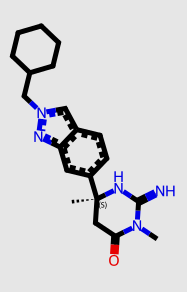 CN1C(=N)N[C@](C)(c2ccc3cn(CC4CCCCC4)nc3c2)CC1=O